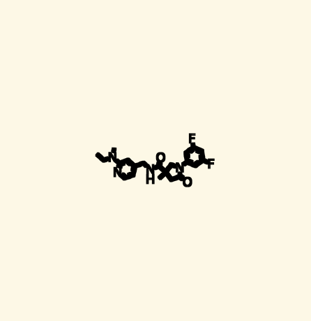 CCN(C)c1cc(CNC(=O)C2(C)CC(=O)N(c3cc(F)cc(F)c3)C2)ccn1